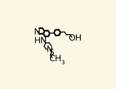 CCSN1CCC(Nc2cc(-c3ccc(CCCO)cc3)cc3ccncc23)CC1